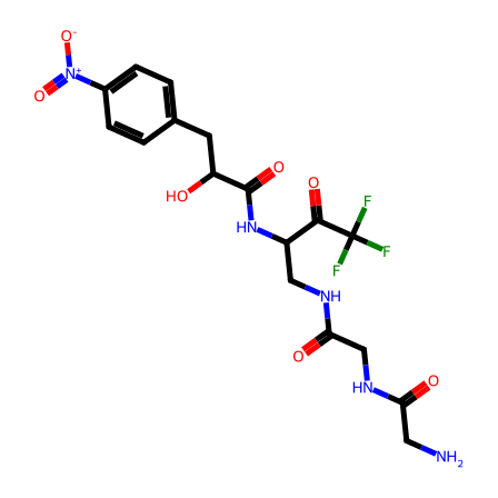 NCC(=O)NCC(=O)NCC(NC(=O)C(O)Cc1ccc([N+](=O)[O-])cc1)C(=O)C(F)(F)F